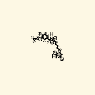 C[C@@H](NS(=O)(=O)CCCCCN1CC(=O)NC1=O)c1ccc(F)c(OCC2CC2)c1